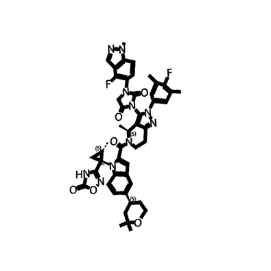 Cc1cc(-n2nc3c(c2N2C(=O)CN(c4ccc5c(cnn5C)c4F)C2=O)[C@H](C)N(C(=O)c2cc4cc([C@H]5CCOC(C)(C)C5)ccc4n2[C@@]2(c4noc(=O)[nH]4)C[C@@H]2C)CC3)cc(C)c1F